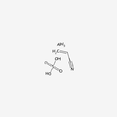 C=CC#N.O=S(=O)(O)O.[AlH3]